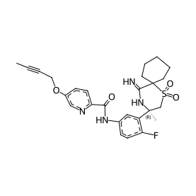 CC#CCOc1ccc(C(=O)Nc2ccc(F)c([C@]3(C)CS(=O)(=O)C4(CCCCC4)C(=N)N3)c2)nc1